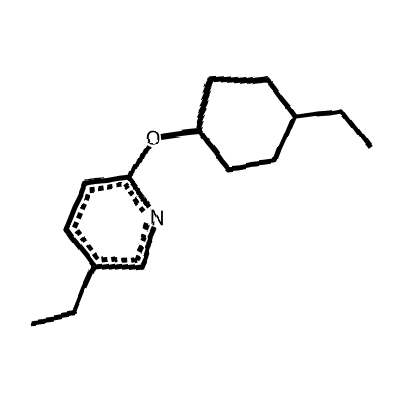 CCc1ccc(OC2CCC(CC)CC2)nc1